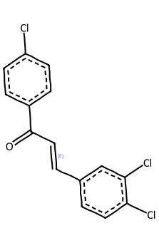 O=C(/C=C/c1ccc(Cl)c(Cl)c1)c1ccc(Cl)cc1